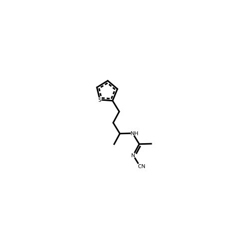 CC(=NC#N)NC(C)CCc1cccs1